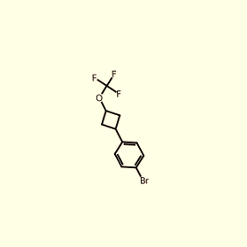 FC(F)(F)OC1CC(c2ccc(Br)cc2)C1